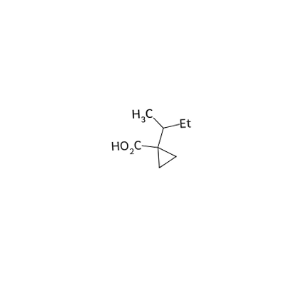 CCC(C)C1(C(=O)O)CC1